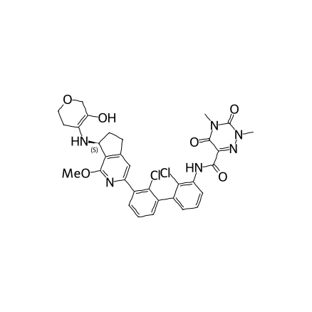 COc1nc(-c2cccc(-c3cccc(NC(=O)c4nn(C)c(=O)n(C)c4=O)c3Cl)c2Cl)cc2c1[C@@H](NC1=C(O)COCC1)CC2